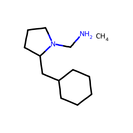 C.NCN1CCCC1CC1CCCCC1